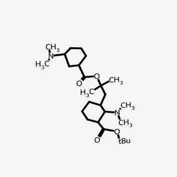 CN(C)C1CCCC(C(=O)OC(C)(C)CC2CCCC(C(=O)OC(C)(C)C)C2N(C)C)C1